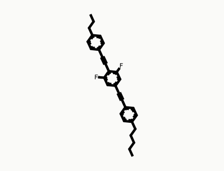 CCCCCc1ccc(C#Cc2cc(F)c(C#Cc3ccc(CCC)cc3)c(F)c2)cc1